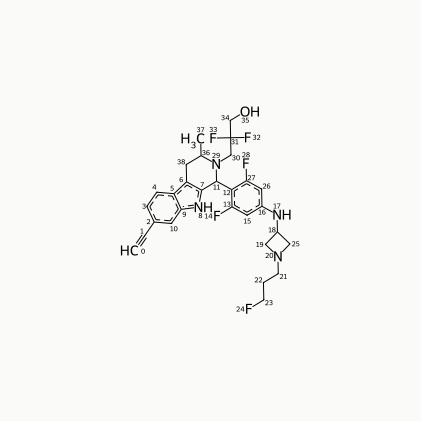 C#Cc1ccc2c3c([nH]c2c1)C(c1c(F)cc(NC2CN(CCCF)C2)cc1F)N(CC(F)(F)CO)C(C)C3